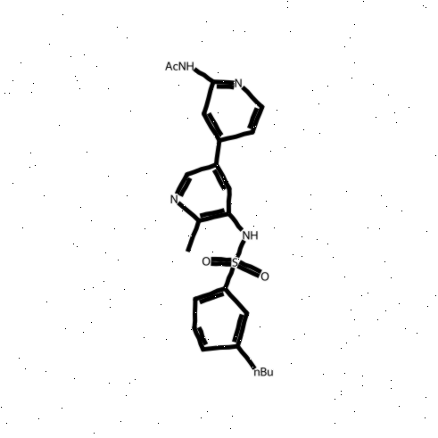 CCCCc1cccc(S(=O)(=O)Nc2cc(-c3ccnc(NC(C)=O)c3)cnc2C)c1